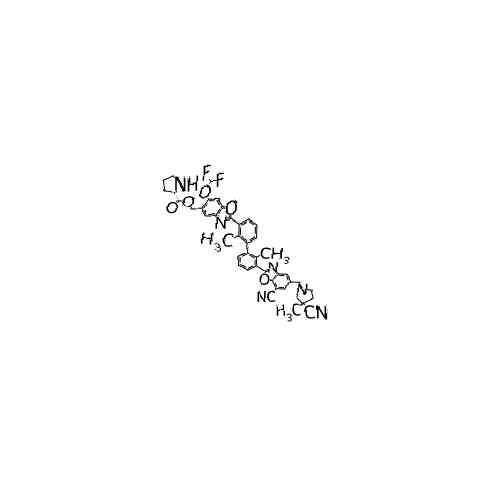 Cc1c(-c2nc3cc(COC(=O)[C@@H]4CCCN4)c(OC(F)F)cc3o2)cccc1-c1cccc(-c2nc3cc(CN4CCC(C)(C#N)C4)cc(C#N)c3o2)c1C